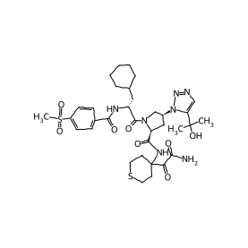 CC(C)(O)c1cnnn1[C@H]1C[C@@H](C(=O)NC2(C(=O)C(N)=O)CCSCC2)N(C(=O)[C@@H](CC2CCCCC2)NC(=O)c2ccc(S(C)(=O)=O)cc2)C1